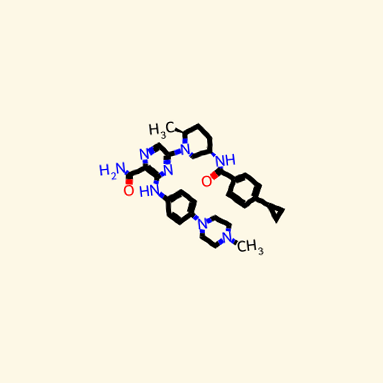 C[C@H]1CC[C@@H](NC(=O)c2ccc(C3CC3)cc2)CN1c1cnc(C(N)=O)c(Nc2ccc(N3CCN(C)CC3)cc2)n1